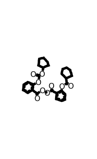 O=C(Oc1ccccc1C(=O)OOC(=O)c1ccccc1OC(=O)C1CCCCC1)OC1CCCCC1